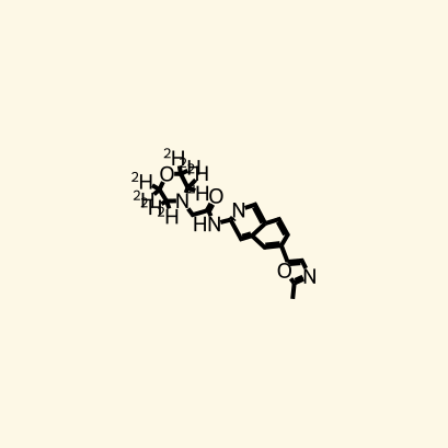 [2H]C1([2H])OC([2H])([2H])C([2H])([2H])N(CC(=O)Nc2cc3cc(-c4cnc(C)o4)ccc3cn2)C1([2H])[2H]